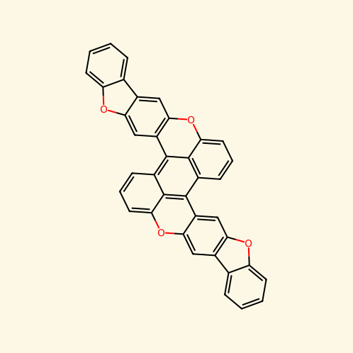 c1ccc2c(c1)oc1cc3c(cc12)oc1cccc2c1c3c1cccc3oc4cc5c(cc4c2c31)oc1ccccc15